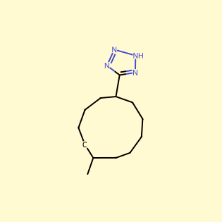 CC1CCCCCC(c2nn[nH]n2)CCCC1